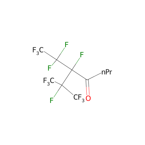 CCCC(=O)C(F)(C(F)(F)C(F)(F)F)C(F)(C(F)(F)F)C(F)(F)F